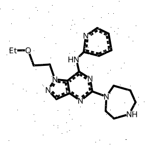 CCOCCn1ncc2nc(N3CCCNCC3)nc(Nc3ccccn3)c21